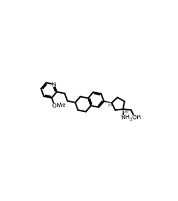 COc1cccnc1CCC1CCc2cc([C@H]3CC[C@](N)(CO)C3)ccc2C1